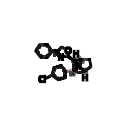 CN1[C@H]2CC[C@@H]1[C@H](C1=NN(c3ccccc3)CO1)[C@@H](c1ccc(Cl)cc1)C2